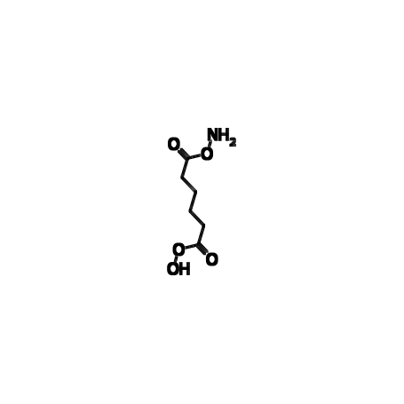 NOC(=O)CCCCC(=O)OO